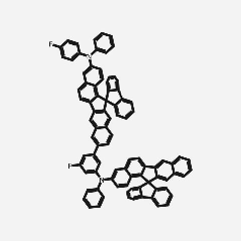 Fc1ccc(N(c2ccccc2)c2ccc3c4c(ccc3c2)-c2cc3cc(-c5cc(F)cc(N(c6ccccc6)c6ccc7c8c(ccc7c6)-c6cc7ccccc7cc6C86c7ccccc7-c7ccccc76)c5)ccc3cc2C42c3ccccc3-c3ccccc32)cc1